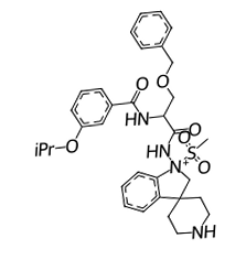 CC(C)Oc1cccc(C(=O)NC(COCc2ccccc2)C(=O)N[N+]2(S(C)(=O)=O)CC3(CCNCC3)c3ccccc32)c1